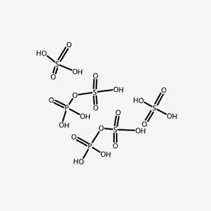 O=P(O)(O)OS(=O)(=O)O.O=P(O)(O)OS(=O)(=O)O.O=S(=O)(O)O.O=S(=O)(O)O